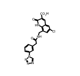 O=C(Cc1cccc(-n2cnnn2)c1)NCc1cc(Cl)cc2cc(C(=O)O)c(=O)[nH]c12